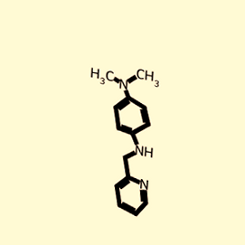 CN(C)c1ccc(NCc2ccccn2)cc1